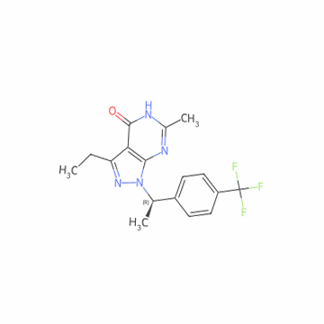 CCc1nn([C@H](C)c2ccc(C(F)(F)F)cc2)c2nc(C)[nH]c(=O)c12